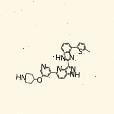 Cc1ccc(-c2cccc3[nH]c(-c4n[nH]c5ccc(-c6cncc(OC7CCNCC7)c6)nc45)nc23)s1